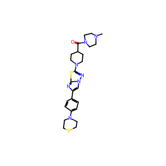 CN1CCN(C(=O)C2CCN(c3nn4cc(-c5ccc(N6CCSCC6)cc5)nc4s3)CC2)CC1